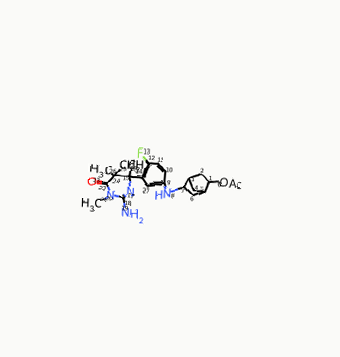 CC(=O)OC1CC2CC1CC2Nc1ccc(F)c(C2(C)N=C(N)N(C)C(=O)C2(C)C)c1